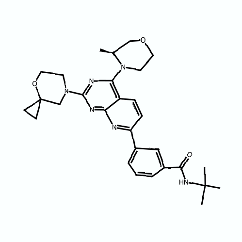 C[C@H]1COCCN1c1nc(N2CCOC3(CC3)C2)nc2nc(-c3cccc(C(=O)NC(C)(C)C)c3)ccc12